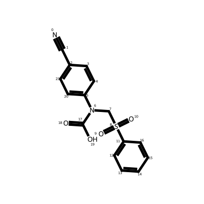 N#Cc1ccc(N(CS(=O)(=O)c2ccccc2)C(=O)O)cc1